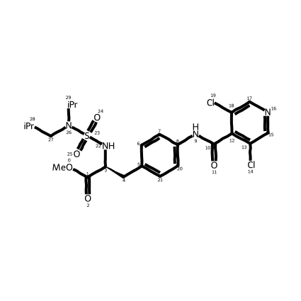 COC(=O)[C@H](Cc1ccc(NC(=O)c2c(Cl)cncc2Cl)cc1)NS(=O)(=O)N(CC(C)C)C(C)C